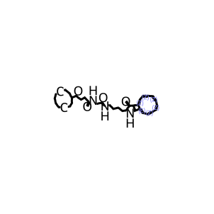 O=C(CCC(=O)C1CCCCCCCCCC1)NCC(=O)NCCCCC1NC2C3=C/C=C\C=C/C=C\C=C/C=C\3C2C1=O